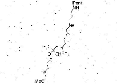 CCCC(C)NCCCNCOCCC(C)CC(C)(C)OCCCNCOC